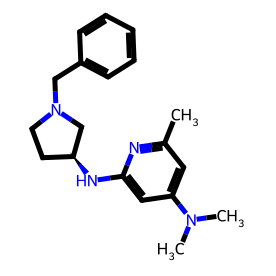 Cc1cc(N(C)C)cc(N[C@H]2CCN(Cc3ccccc3)C2)n1